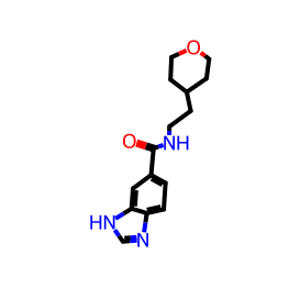 O=C(NCCC1CCOCC1)c1ccc2nc[nH]c2c1